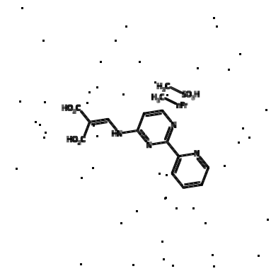 CCCC.CS(=O)(=O)O.O=C(O)C(=CNc1ccnc(-c2ccccn2)n1)C(=O)O